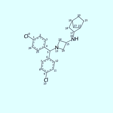 Clc1ccc(C(c2ccc(Cl)cc2)N2CC(NC3CC4CCC3C4)C2)cc1